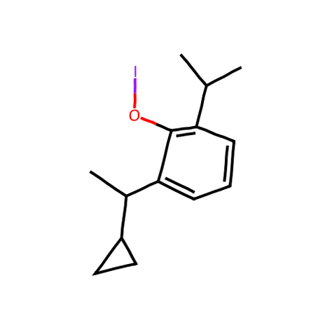 CC(C)c1cccc(C(C)C2CC2)c1OI